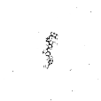 Cn1cnc(S(=O)(=O)N2CC[C@H](Nc3ncc(C(F)(F)F)c(-c4cnc(CC(C)(C)O)s4)n3)[C@H](F)C2)c1